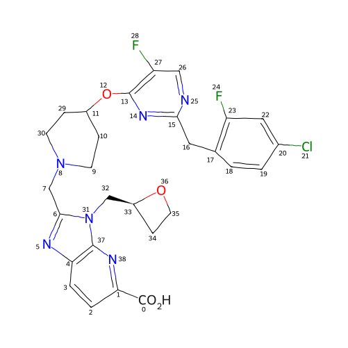 O=C(O)c1ccc2nc(CN3CCC(Oc4nc(Cc5ccc(Cl)cc5F)ncc4F)CC3)n(C[C@@H]3CCO3)c2n1